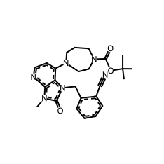 Cn1c(=O)n(Cc2ccccc2C#N)c2c(N3CCCN(C(=O)OC(C)(C)C)CC3)ccnc21